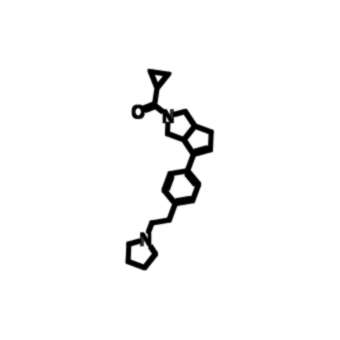 O=C(C1CC1)N1CC2CC=C(c3ccc(CCN4CCCC4)cc3)C2C1